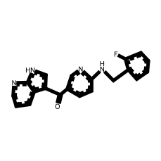 O=C(c1ccc(NCc2ccccc2F)nc1)c1c[nH]c2ncccc12